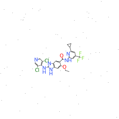 CCOc1cc2[nH]c(Nc3c(Cl)cncc3Cl)nc2cc1C(=O)Nc1cc(C(F)(F)F)cc(C2CC2)n1